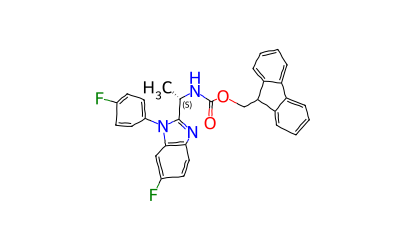 C[C@H](NC(=O)OCC1c2ccccc2-c2ccccc21)c1nc2ccc(F)cc2n1-c1ccc(F)cc1